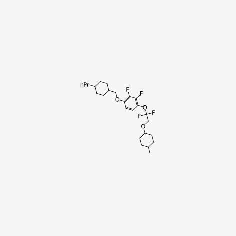 CCCC1CCC(COc2ccc(OC(F)(F)COC3CCC(C)CC3)c(F)c2F)CC1